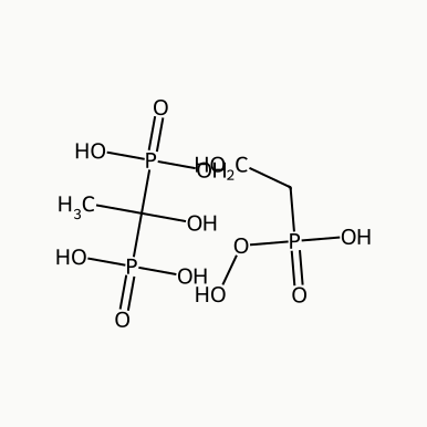 CC(O)(P(=O)(O)O)P(=O)(O)O.O=C(O)CP(=O)(O)OO